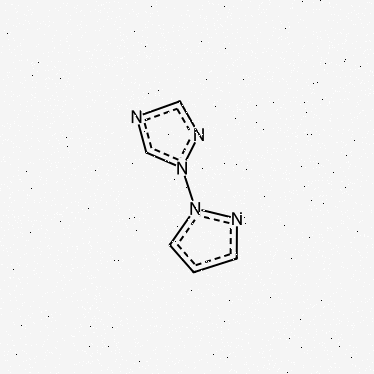 c1cnn(-n2cncn2)c1